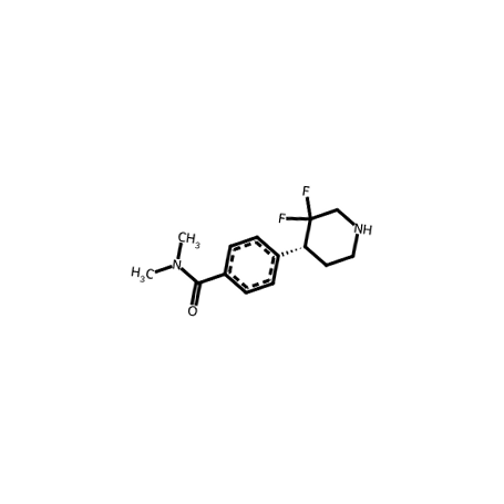 CN(C)C(=O)c1ccc([C@H]2CCNCC2(F)F)cc1